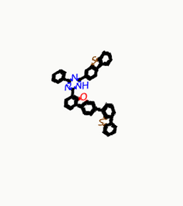 c1ccc(C2=NC(c3cccc4c3oc3cc(-c5cccc6c5sc5ccccc56)ccc34)NC(c3ccc4c(c3)sc3ccccc34)=N2)cc1